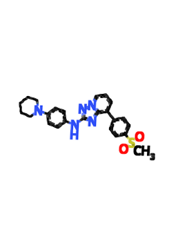 CS(=O)(=O)c1ccc(-c2cccn3nc(Nc4ccc(N5CCCCC5)cc4)nc23)cc1